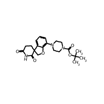 CC(C)(C)OC(=O)N1CCN(c2cccc3c2OCC32CCC(=O)NC2=O)CC1